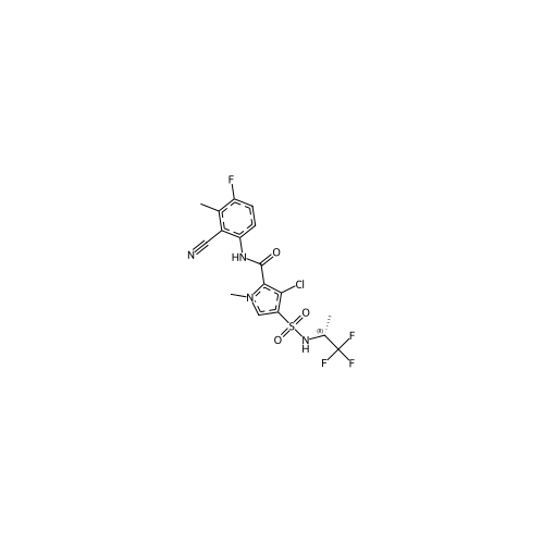 Cc1c(F)ccc(NC(=O)c2c(Cl)c(S(=O)(=O)N[C@H](C)C(F)(F)F)cn2C)c1C#N